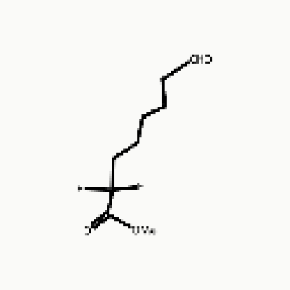 COC(=O)C(F)(F)CCCCCC=O